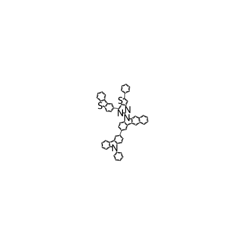 c1ccc(-c2cc3nc(-n4c5ccc(-c6ccc7c(c6)c6ccccc6n7-c6ccccc6)cc5c5cc6ccccc6cc54)nc(-c4ccc5sc6ccccc6c5c4)c3s2)cc1